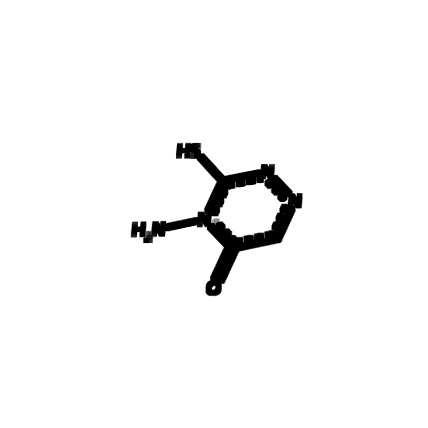 Nn1c(S)nncc1=O